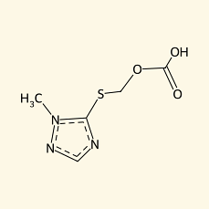 Cn1ncnc1SCOC(=O)O